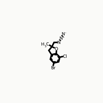 CC1(CN=[N+]=[N-])Cc2cc(Br)cc(Cl)c2O1